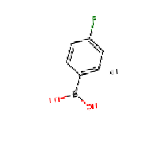 OB(O)c1ccc(F)cc1.[KH]